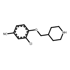 N#Cc1ccc(OCC2CCNCC2)c(Cl)c1